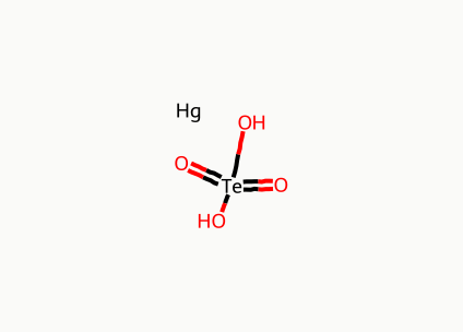 O=[Te](=O)(O)O.[Hg]